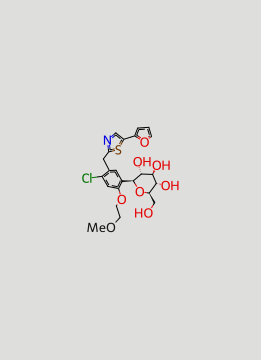 COCCOc1cc(Cl)c(Cc2ncc(-c3ccco3)s2)cc1[C@@H]1O[C@H](CO)[C@@H](O)[C@H](O)[C@H]1O